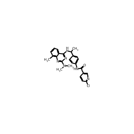 Cc1cccc2c(NC(C)c3ccc(NC(=O)c4ccc(Cl)nc4)cc3)nc(N(C)C)nc12